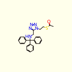 CC(=O)SCCn1nnnc1CNC(c1ccccc1)(c1ccccc1)c1ccccc1